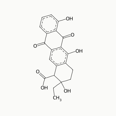 CCC1(O)CCc2c(cc3c(c2O)C(=O)c2c(O)cccc2C3=O)C1C(=O)O